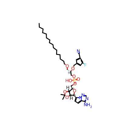 CCCCCCCCCCCCCCCCOC[C@@H](COP(=O)(O)OC[C@H]1O[C@@H](c2ccc3c(N)ncnn23)[C@@H]2OC(C)(C)O[C@@H]21)OCc1cc(F)cc(C#N)c1